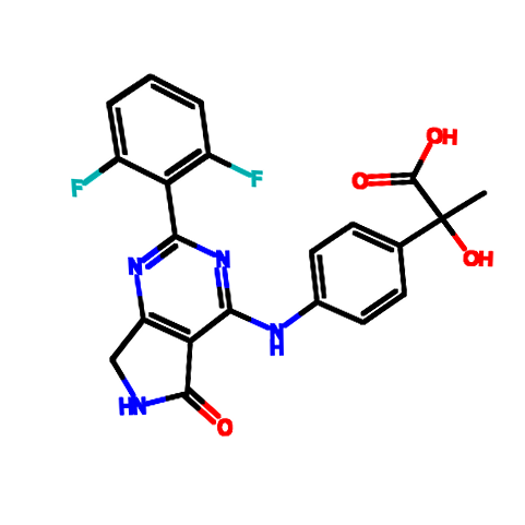 CC(O)(C(=O)O)c1ccc(Nc2nc(-c3c(F)cccc3F)nc3c2C(=O)NC3)cc1